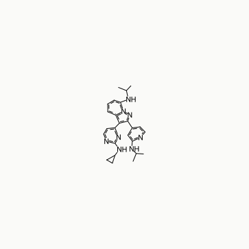 CC(C)Nc1cc(-c2nn3c(NC(C)C)cccc3c2-c2ccnc(NC3CC3)n2)ccn1